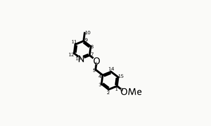 COc1ccc(COc2cc(C)ccn2)cc1